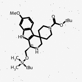 COc1ccc2c3c([nH]c2c1)[C@H](CO[Si](C)(C)C(C)(C)C)NCC31CCN(C(=O)OC(C)(C)C)CC1